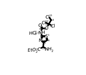 CCOC(=O)C(N)c1csc(NC(=O)OC(Cl)(Cl)CCl)n1.Cl